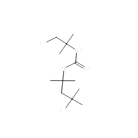 CC(C)CC(C)(C)NC(=N)NC(C)(C)CC(C)(C)C(C)(C)C